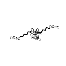 CCCCCCCCCCCCCCCC(=O)OC(C)(NC)OC(=O)CCCCCCCCCCCCCCC.Cl